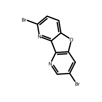 Brc1cnc2c(c1)oc1ccc(Br)nc12